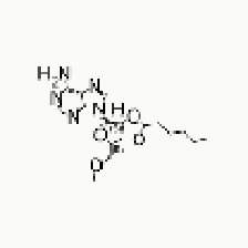 CCCCCC1OC2[C@@H](COC)O[C@@H](n3cnc4c(N)ncnc43)[C@H]2O1